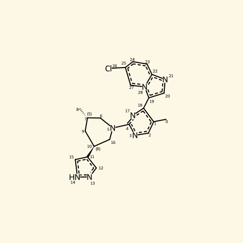 Cc1cnc(N2C[C@@H](C)C[C@H](c3cn[nH]c3)C2)nc1-c1cnc2ccc(Cl)cn12